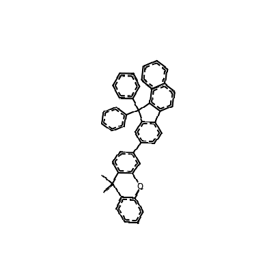 CC1(C)c2ccccc2Oc2cc(-c3ccc4c(c3)C(c3ccccc3)(c3ccccc3)c3c-4ccc4ccccc34)ccc21